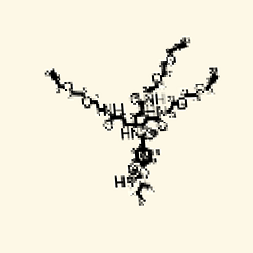 C#CCOCCOCCNC(=O)CCC(CCC(=O)NCCOCCOCC#C)(CCC(=O)NCCOCCOCC#C)NC(=O)C12CCC(OP(=O)(S)C(C)CC)(CC1)CC2